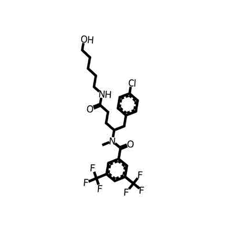 CN(C(=O)c1cc(C(F)(F)F)cc(C(F)(F)F)c1)C(CCC(=O)NCCCCCO)Cc1ccc(Cl)cc1